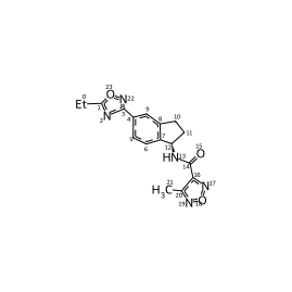 CCc1nc(-c2ccc3c(c2)CC[C@H]3NC(=O)c2nonc2C)no1